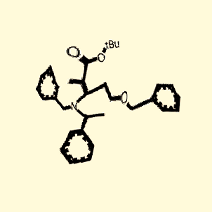 CC(C(=O)OC(C)(C)C)C(CCOCc1ccccc1)N(Cc1ccccc1)C(C)c1ccccc1